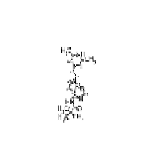 C[C@@H]1CN(CCn2ncc3c(NC(=O)C(C)(C)C)ncnc32)C[C@H](C)N1